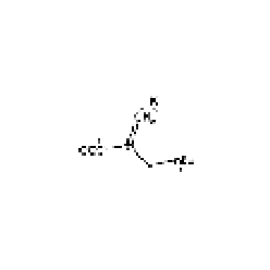 C=C(CCCCC)C(=O)[O-].[K+]